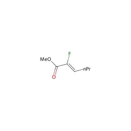 CCCC=C(F)C(=O)OC